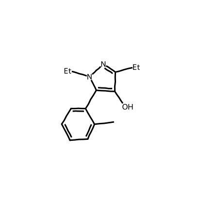 CCc1nn(CC)c(-c2ccccc2C)c1O